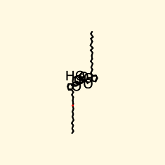 CCCCCCCCCCCCCCCCc1ccccc1OC(=O)CC(C(=O)Oc1ccccc1CCCCCCCCCCCCCCCC)S(=O)(=O)O